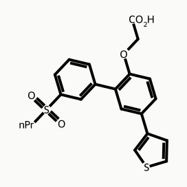 CCCS(=O)(=O)c1cccc(-c2cc(-c3ccsc3)ccc2OCC(=O)O)c1